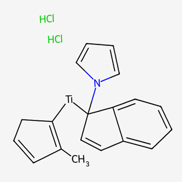 CC1=[C]([Ti][C]2(n3cccc3)C=Cc3ccccc32)CC=C1.Cl.Cl